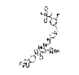 O=C1CCC(c2ccc(CN3CCC(N4CCN(c5ncc(C(=O)Nc6ccc(OC(F)(F)Cl)cc6)cc5-c5cc[nH]n5)CC4)CC3)cc2F)C(=O)N1